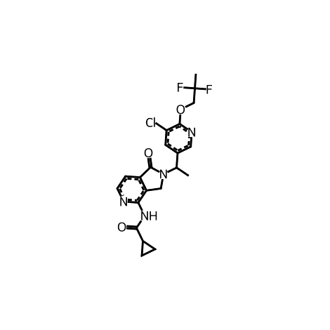 CC(c1cnc(OCC(C)(F)F)c(Cl)c1)N1Cc2c(ccnc2NC(=O)C2CC2)C1=O